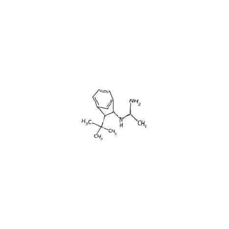 CC(N)NC1c2cccc(c2)C1C(C)(C)C